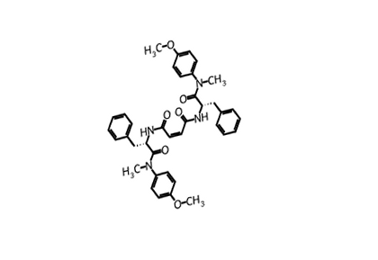 COc1ccc(N(C)C(=O)[C@H](Cc2ccccc2)NC(=O)/C=C\C(=O)N[C@@H](Cc2ccccc2)C(=O)N(C)c2ccc(OC)cc2)cc1